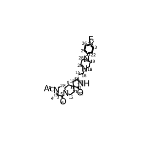 CC(=O)N(C)[C@@H](C)C(=O)N1CCC2(CC1)C[C@H](CCN1CCN(c3ccc(F)cc3)CC1)NC2=O